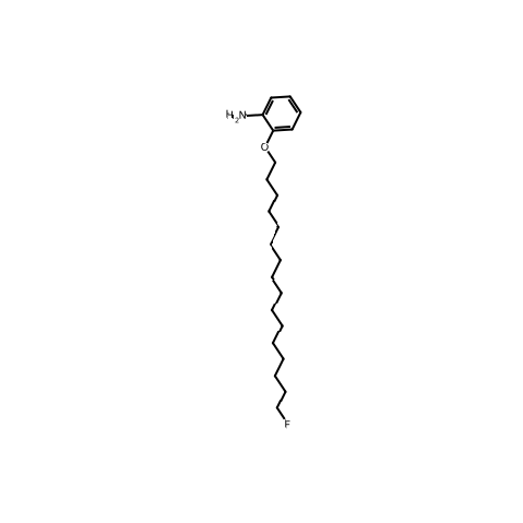 Nc1ccccc1OCCCCCCCCCCCCCCCCF